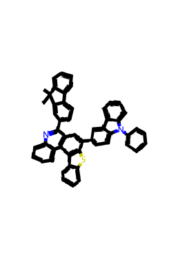 CC1(C)c2ccccc2-c2ccc(-c3nc4ccccc4c4c3cc(-c3ccc5c(c3)c3ccccc3n5-c3ccccc3)c3sc5ccccc5c34)cc21